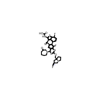 N#Cc1c(NC(=O)O)sc2c(F)ccc(-c3c(Cl)cc4c(N5CCCCC(=O)C5)nc(OCC56CCCN5C/C(=C\F)C6)nc4c3F)c12